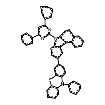 c1ccc(-c2cc(-c3ccccc3)nc(-n3c4ccc(-c5ccc6c(c5)Sc5ccccc5N6c5ccccc5)cc4c4c5ccccc5ccc43)n2)cc1